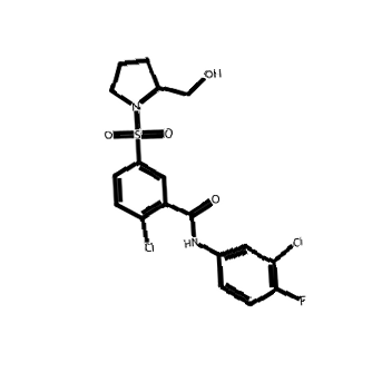 O=C(Nc1ccc(F)c(Cl)c1)c1cc(S(=O)(=O)N2CCCC2CO)ccc1Cl